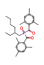 CCCCC(CC)CP(=O)(C(=O)c1c(C)cc(C)cc1C)C(=O)c1c(C)cc(C)cc1C